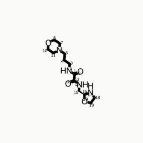 O=C(NCCCN1CCOCC1)C(=O)NC[C@H]1NCCO1